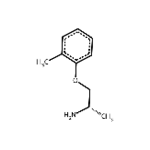 Cc1ccccc1OC[C@H](C)N